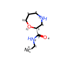 N#CCNC(=O)[C@H]1CNCCCO1